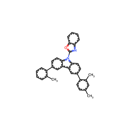 Cc1ccc(-c2ccc3c(c2)c2cc(-c4ccccc4C)ccc2n3-c2nc3ccccc3o2)c(C)c1